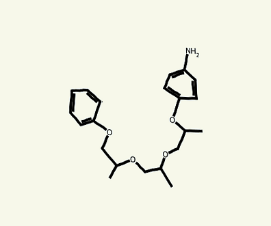 CC(COc1[c]cccc1)OCC(C)OCC(C)Oc1ccc(N)cc1